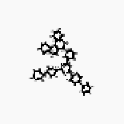 c1ccc(-c2ccc(-c3cc(-c4cccc(-c5nc6ccccc6c6c5ccc5ccccc56)c4)nc(-c4ccc(-c5ccccc5)cc4)n3)cc2)cc1